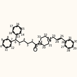 O=C(CCCCC(c1ccccc1)c1ccccc1)N1CCN(C/C=C/c2ccccc2)CC1